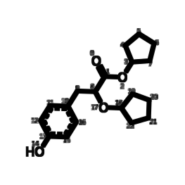 O=C(OC1CCCC1)C(Cc1ccc(O)cc1)OC1CCCC1